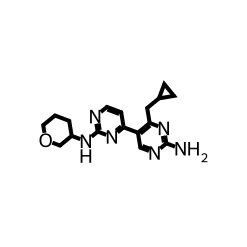 Nc1ncc(-c2ccnc(NC3CCCOC3)n2)c(CC2CC2)n1